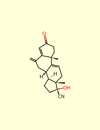 C=C1C[C@@H]2C(=CC[C@@]3(C)[C@H]2CC[C@]3(O)C#N)[C@@]2(C)CCC(=O)C=C12